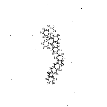 c1ccc2c(-c3c4ccccc4c(-c4ccc(-c5ccc6sc7cc8cc9c(cc8cc7c6c5)sc5ccccc59)cc4)c4ccccc34)cccc2c1